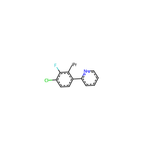 CC(C)c1c(-c2ccccn2)ccc(Cl)c1F